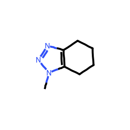 Cn1nnc2c1CCCC2